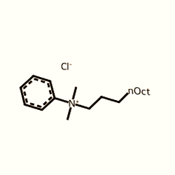 CCCCCCCCCCC[N+](C)(C)c1ccccc1.[Cl-]